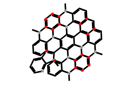 CN1c2ccccc2N(c2c(-c3ccccc3)c(N3c4ccccc4N(C)c4ccccc43)c(N3c4ccccc4N(C)c4ccccc43)c(-c3nc4cccnc4n3C)c2N2c3ccccc3N(C)c3ccccc32)c2ccccc21